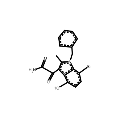 Cc1c(C(=O)C(N)=O)c2c(O)ccc(Br)c2n1Cc1ccccc1